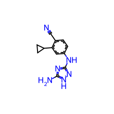 N#Cc1ccc(Nc2n[nH]c(N)n2)cc1C1CC1